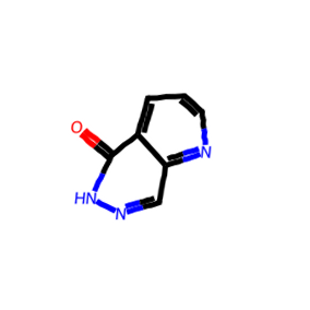 O=c1[nH]ncc2ncccc12